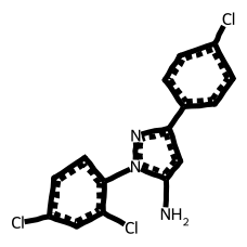 Nc1cc(-c2ccc(Cl)cc2)nn1-c1ccc(Cl)cc1Cl